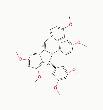 COc1ccc(/C=C2/c3cc(OC)cc(OC)c3[C@H](c3cc(OC)cc(OC)c3)C2c2ccc(OC)cc2)cc1